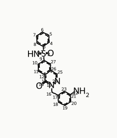 N=S(=O)(c1ccccc1)c1ccc2c(=O)n(Cc3cccc(N)c3)ncc2c1